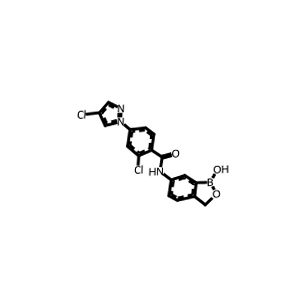 O=C(Nc1ccc2c(c1)B(O)OC2)c1ccc(-n2cc(Cl)cn2)cc1Cl